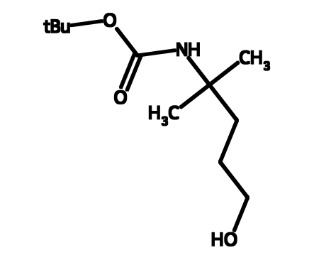 CC(C)(CCCO)NC(=O)OC(C)(C)C